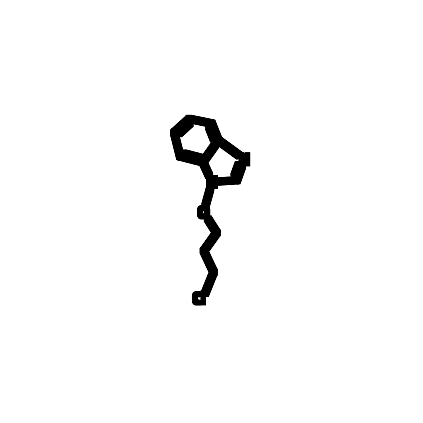 ClCCCOn1cnc2ccccc21